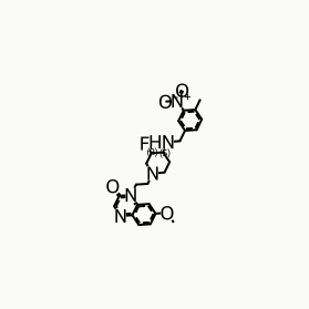 COc1ccc2ncc(=O)n(CCN3CC[C@H](NCc4ccc(C)c([N+](=O)[O-])c4)[C@H](F)C3)c2c1